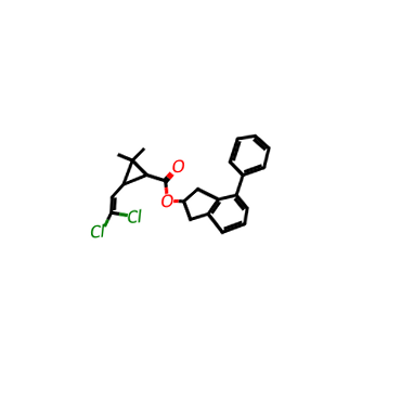 CC1(C)C(C=C(Cl)Cl)C1C(=O)OC1Cc2cccc(-c3ccccc3)c2C1